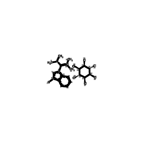 CN(C)C(n1n[n+]([O-])c2ccccc21)=[N+](C)C.Cl[C@H]1[C@H](Cl)[C@@H](Cl)[C@@H](Cl)[C@H](Cl)[C@H]1Cl